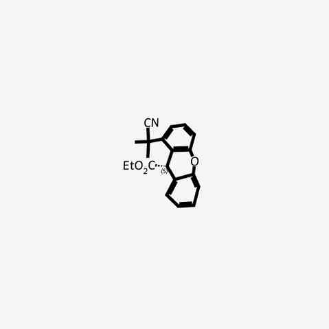 CCOC(=O)[C@H]1c2ccccc2Oc2cccc(C(C)(C)C#N)c21